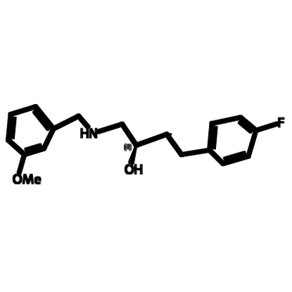 COc1cccc(CNC[C@H](O)[CH]Cc2ccc(F)cc2)c1